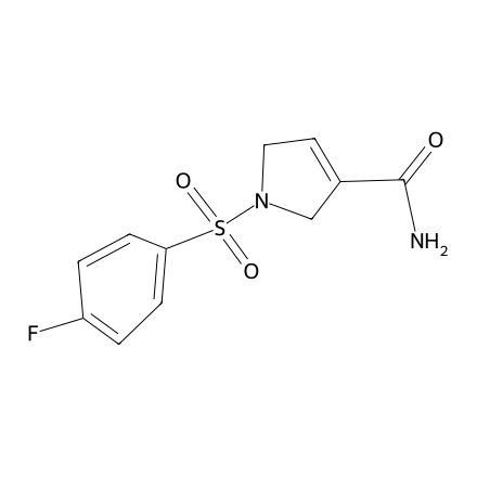 NC(=O)C1=CCN(S(=O)(=O)c2ccc(F)cc2)C1